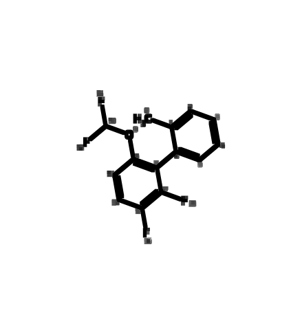 Cc1ccccc1-c1c(OC(F)F)ccc(F)c1F